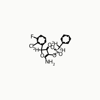 [2H]C([2H])(c1ccccc1)S(=O)(=O)OC1=C(N)O[C@]([2H])(c2cccc(F)c2Cl)C1=O